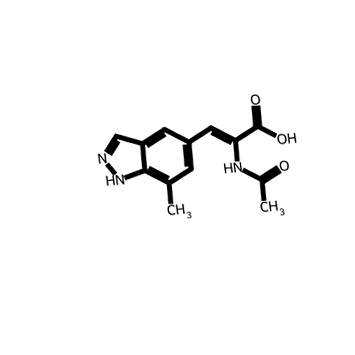 CC(=O)NC(=Cc1cc(C)c2[nH]ncc2c1)C(=O)O